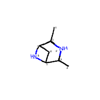 CC1NC(C)C2CC1N2